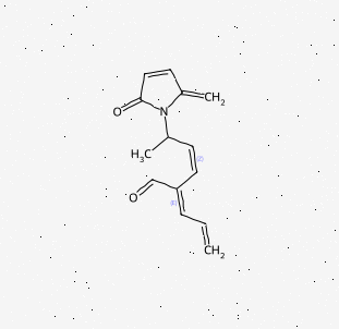 C=C/C=C(C=O)\C=C/C(C)N1C(=C)C=CC1=O